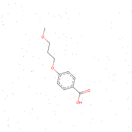 COCCCOc1ccc(C(=O)O)cc1